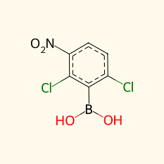 O=[N+]([O-])c1ccc(Cl)c(B(O)O)c1Cl